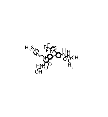 CC(C)NC(=O)Nc1ccc(-c2ccc3c(c2)c(=O)c(C(=O)NCCO)cn3CCN2CCN(C)CC2)c(-c2nc(C(F)(F)F)cs2)c1